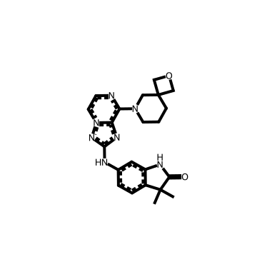 CC1(C)C(=O)Nc2cc(Nc3nc4c(N5CCCC6(COC6)C5)nccn4n3)ccc21